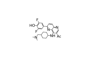 CC(=O)c1cnc2ccc(-c3cc(F)c(O)c(F)c3)nc2c1NC1CCC(CN(C)C)CC1